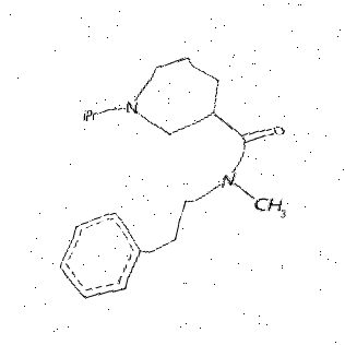 CC(C)N1CCCC(C(=O)N(C)CCc2ccccc2)C1